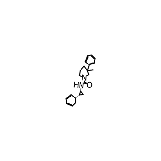 CC1(c2ccccc2)CCCN(C(=O)NC2C[C@@H]2C2C=CC=CC2)C1